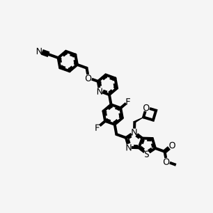 COC(=O)c1cc2c(nc(Cc3cc(F)c(-c4cccc(OCc5ccc(C#N)cc5)n4)cc3F)n2C[C@@H]2CCO2)s1